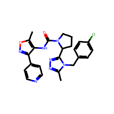 Cc1onc(-c2ccncc2)c1NC(=O)N1CCCC1c1nnc(C)n1Cc1ccc(Cl)cc1